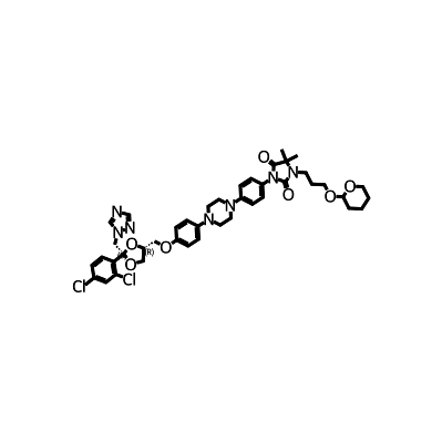 CC1(C)C(=O)N(c2ccc(N3CCN(c4ccc(OC[C@@H]5CO[C@@](Cn6cncn6)(c6ccc(Cl)cc6Cl)O5)cc4)CC3)cc2)C(=O)N1CCCOC1CCCCO1